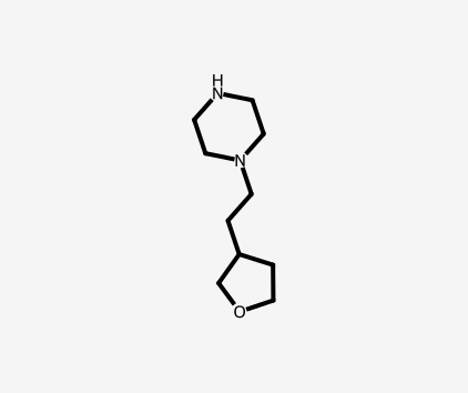 C1CN(CCC2CCOC2)CCN1